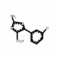 Nc1nc(C(=O)O)c(-c2cccc(Cl)c2)s1